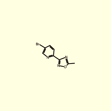 Cc1nc(-c2ccc(Br)cn2)no1